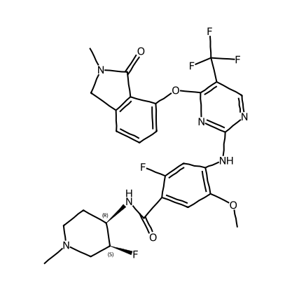 COc1cc(C(=O)N[C@@H]2CCN(C)C[C@@H]2F)c(F)cc1Nc1ncc(C(F)(F)F)c(Oc2cccc3c2C(=O)N(C)C3)n1